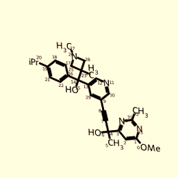 COc1cc(C(C)(O)C#Cc2cncc(C(O)(c3ccc(C(C)C)cc3)C3(C)CN(C)C3)c2)nc(C)n1